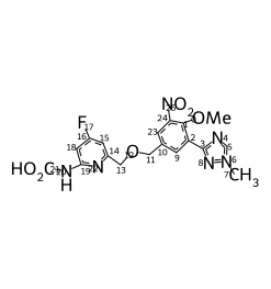 COc1c(-c2ncn(C)n2)cc(COCc2cc(F)cc(NC(=O)O)n2)cc1[N+](=O)[O-]